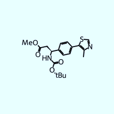 COC(=O)C[C@H](NC(=O)OC(C)(C)C)c1ccc(-c2scnc2C)cc1